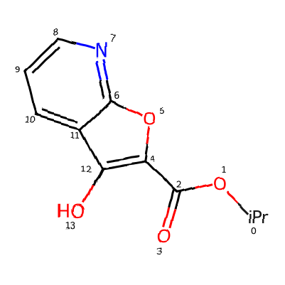 CC(C)OC(=O)c1oc2ncccc2c1O